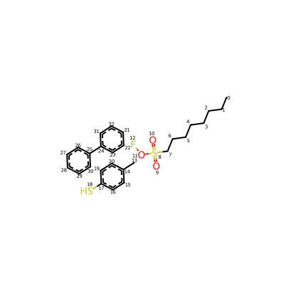 CCCCCCCCS(=O)(=O)OF.Cc1ccc(S)cc1.c1ccc(-c2ccccc2)cc1